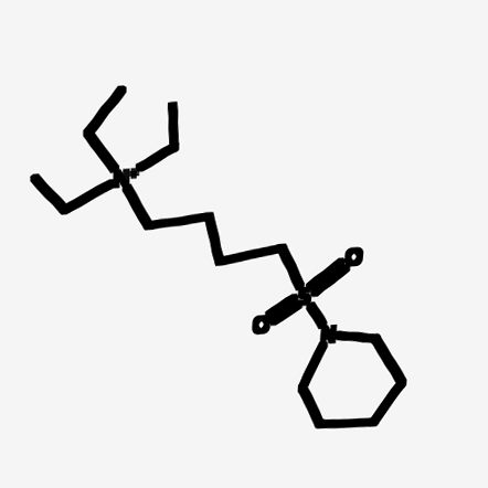 CC[N+](CC)(CC)CCCCS(=O)(=O)N1CCCCC1